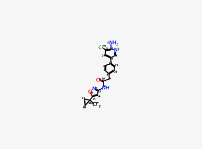 Nc1ncc(-c2ccc(CC(=O)Nc3cc(C4(C(F)(F)F)CC4)on3)cc2)cc1Cl